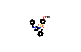 CCCCOc1ccc(S(=O)(=O)N(Cc2ccccc2)C2CCN(Cc3ccccc3)C2)cc1